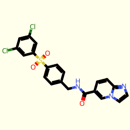 O=C(NCc1ccc(S(=O)(=O)c2cc(Cl)cc(Cl)c2)cc1)c1ccc2nccn2c1